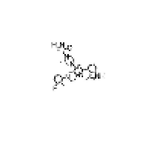 Cc1c(F)cccc1N1CCc2nc(-c3cccc4[nH]cc(C)c34)nc(N3CCN(CC(N)=O)C(C)C3)c2C1